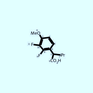 COc1ccc(C(C(=O)O)C(C)C)c(F)c1F